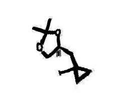 CC1(C)OC[C@H](CC2(I)CC2)O1